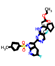 CCOC(=O)C[C@@H](Nc1nc(-c2cn(S(=O)(=O)c3ccc(C)cc3)c3ncc(F)cc23)ncc1F)C1(C)CCCC1